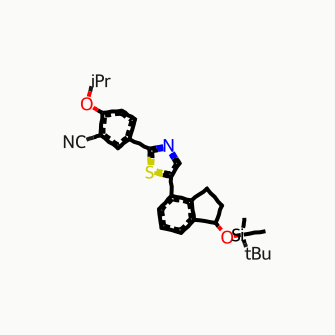 CC(C)Oc1ccc(-c2ncc(-c3cccc4c3CCC4O[Si](C)(C)C(C)(C)C)s2)cc1C#N